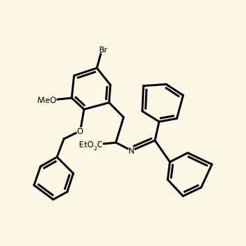 CCOC(=O)C(Cc1cc(Br)cc(OC)c1OCc1ccccc1)N=C(c1ccccc1)c1ccccc1